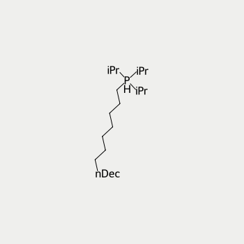 CCCCCCCCCCCCCCCCC[PH](C(C)C)(C(C)C)C(C)C